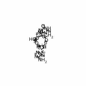 CC1OCC[C@H]2C[C@H](c3cnc4c(N)ncnn34)O[C@@H]2COP(O)(=S)O[C@H](F)[C@H](n2nnc3c(=O)[nH]c(N)nc32)O1